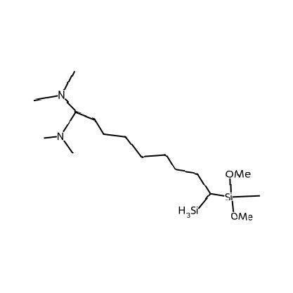 CO[Si](C)(OC)C([SiH3])CCCCCCCC(N(C)C)N(C)C